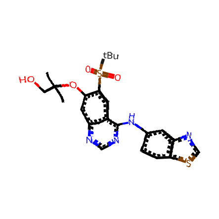 CC(C)(CO)Oc1cc2ncnc(Nc3ccc4scnc4c3)c2cc1S(=O)(=O)C(C)(C)C